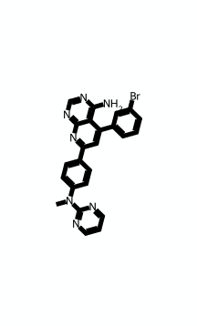 CN(c1ccc(-c2cc(-c3cccc(Br)c3)c3c(N)ncnc3n2)cc1)c1ncccn1